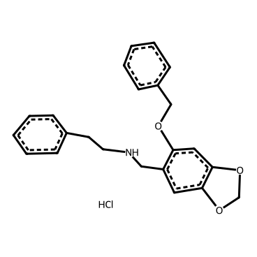 Cl.c1ccc(CCNCc2cc3c(cc2OCc2ccccc2)OCO3)cc1